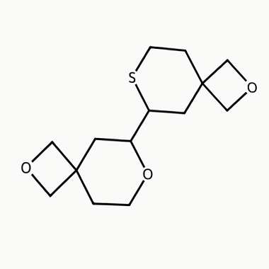 C1CC2(COC2)CC(C2CC3(CCS2)COC3)O1